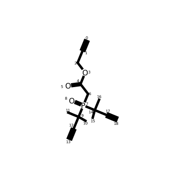 C#CCOC(=O)CP(=O)(C(C)(C)C#C)C(C)(C)C#C